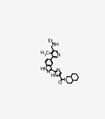 CCNCc1cncc(-c2ccc3[nH]nc(-c4ncc(C(=O)N5CCC6CCCCC6C5)[nH]4)c3c2)c1C